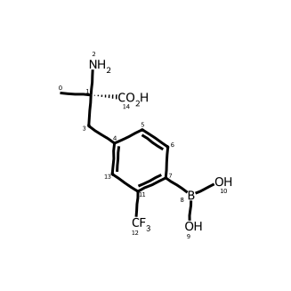 C[C@@](N)(Cc1ccc(B(O)O)c(C(F)(F)F)c1)C(=O)O